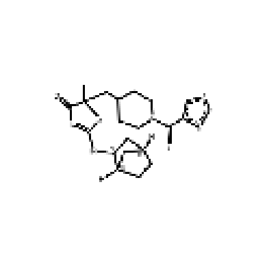 CC1(CC2CCN(C(=O)c3csnn3)CC2)SC(N[C@H]2C[C@@H]3CC[C@H]2C3)=NC1=O